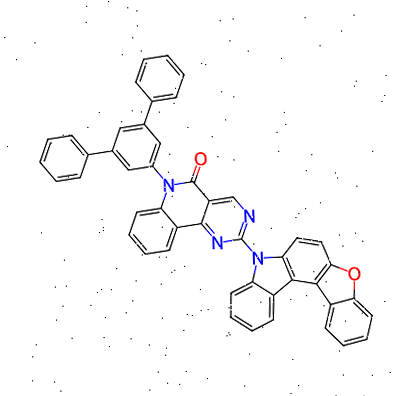 O=c1c2cnc(-n3c4ccccc4c4c5c(ccc43)oc3ccccc35)nc2c2ccccc2n1-c1cc(-c2ccccc2)cc(-c2ccccc2)c1